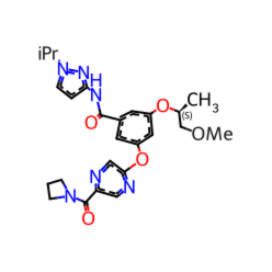 COC[C@H](C)Oc1cc(Oc2cnc(C(=O)N3CCC3)cn2)cc(C(=O)Nc2ccn(C(C)C)n2)c1